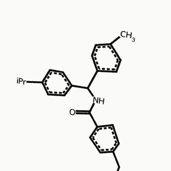 Cc1ccc(C(NC(=O)c2ccc(CO)cc2)c2ccc(C(C)C)cc2)cc1